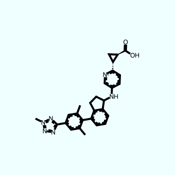 Cc1cc(-c2nnn(C)n2)cc(C)c1-c1cccc2c1CCC2Nc1ccc([C@@H]2C[C@H]2C(=O)O)nc1